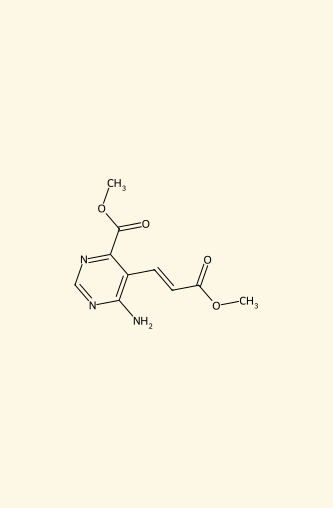 COC(=O)/C=C/c1c(N)ncnc1C(=O)OC